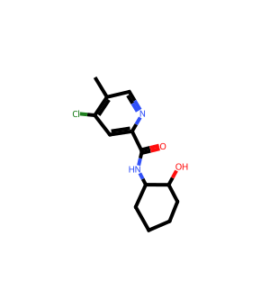 Cc1cnc(C(=O)NC2CCCCC2O)cc1Cl